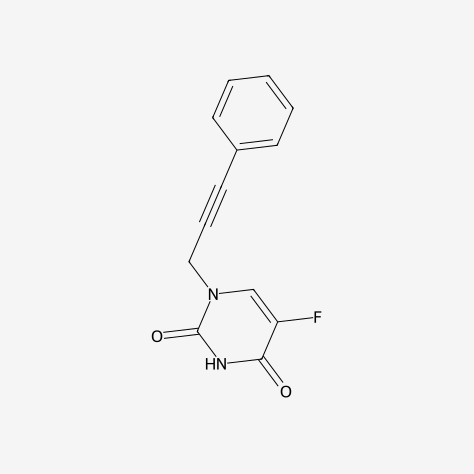 O=c1[nH]c(=O)n(CC#Cc2ccccc2)cc1F